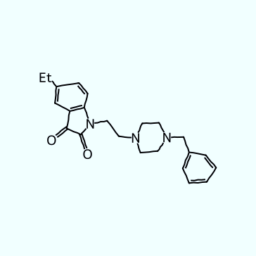 CCc1ccc2c(c1)C(=O)C(=O)N2CCN1CCN(Cc2ccccc2)CC1